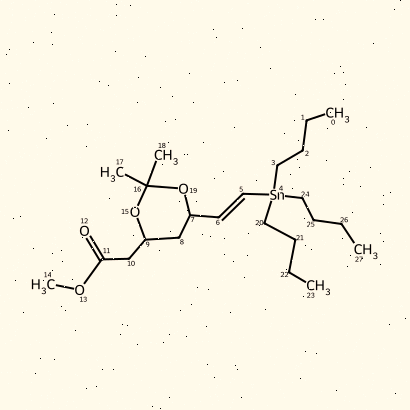 CCC[CH2][Sn](/[CH]=C/C1CC(CC(=O)OC)OC(C)(C)O1)([CH2]CCC)[CH2]CCC